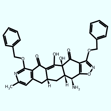 Cc1cc2c(c(OCc3ccccc3)n1)C(=O)C1=C(O)[C@]3(O)C(=O)c4c(OCc5ccccc5)noc4[C@@H](N)[C@@H]3C[C@@H]1C2